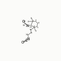 CC1(C)CCCC(C)(CCCN=C=O)C1N=C=O